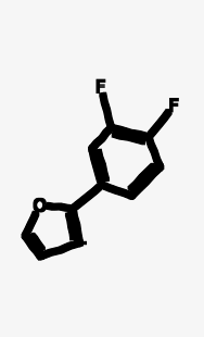 Fc1ccc(-c2[c]cco2)cc1F